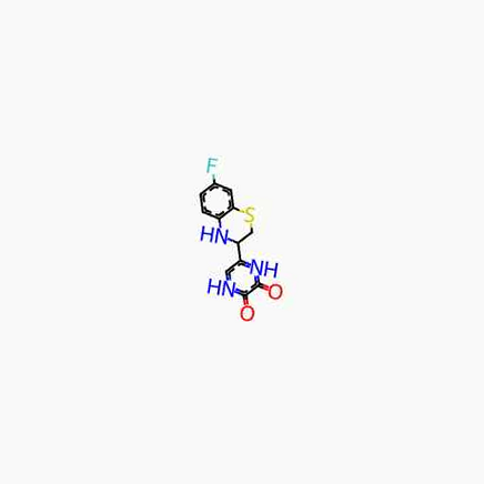 O=c1[nH]cc(C2CSc3cc(F)ccc3N2)[nH]c1=O